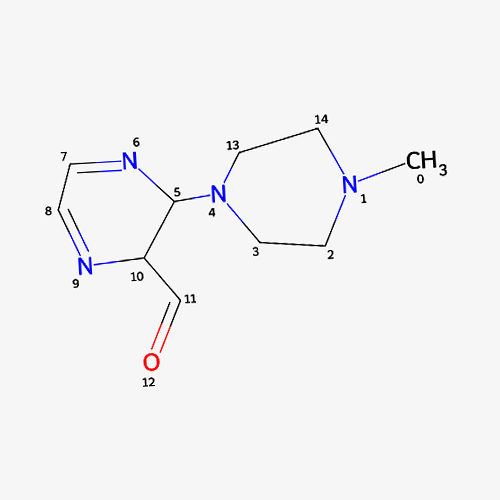 CN1CCN(C2N=CC=NC2C=O)CC1